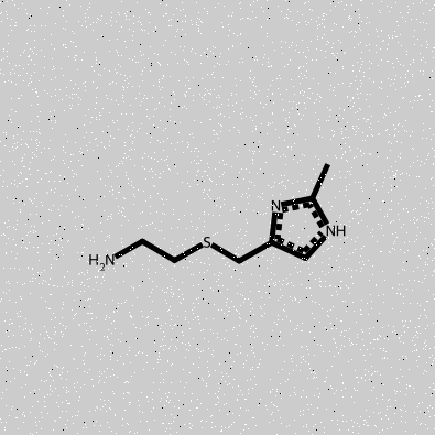 Cc1nc(CSCCN)c[nH]1